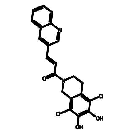 O=C(/C=C/c1cnc2ccccc2c1)N1CCc2c(Cl)c(O)c(O)c(Cl)c2C1